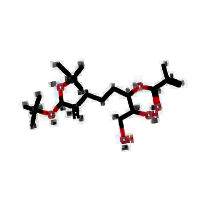 C=C(C)C(=O)OC(CCC[SiH2]C(O[Si](C)(C)C)O[Si](C)(C)C)C(O)CO